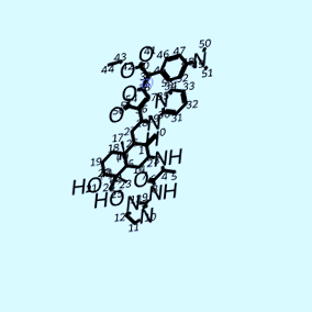 C=C1C(NC(C)C(=O)NC2=NCC=N2)CC2[C@](C)(CC[C@@H](O)[C@@]2(C)CO)C1CC(Nc1ccccn1)C1=C/C(=C(/C(=O)OCC)c2ccc(N(C)C)cc2)OC1=O